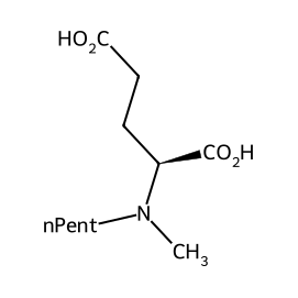 CCCCCN(C)[C@@H](CCC(=O)O)C(=O)O